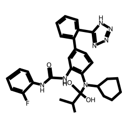 CC(C)C(O)(O)N(c1ccc(-c2ccccc2-c2nnn[nH]2)cc1NC(=O)Nc1ccccc1F)C1CCCCC1